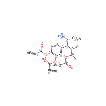 CCCCCC(=O)Oc1ccc(C(C(C)C(C)OC(=O)OCC(C)C)[C@H](N)C(=O)O)cc1OC(=O)CCCCC